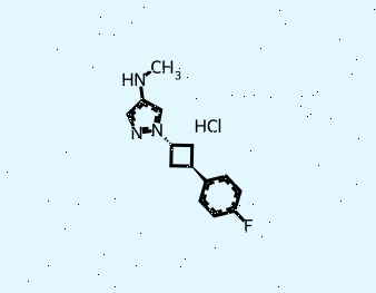 CNc1cnn([C@H]2C[C@H](c3ccc(F)cc3)C2)c1.Cl